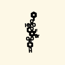 O=C(N[C@H]1CCc2cc(OC(=O)N3CCNCC3)c(Br)c(F)c2O1)OCc1ccccc1